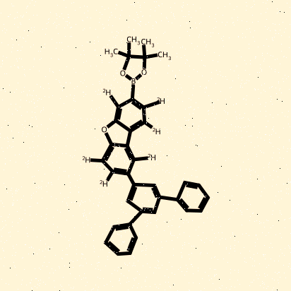 [2H]c1c(-c2cc(-c3ccccc3)cc(-c3ccccc3)c2)c([2H])c2c(oc3c([2H])c(B4OC(C)(C)C(C)(C)O4)c([2H])c([2H])c32)c1[2H]